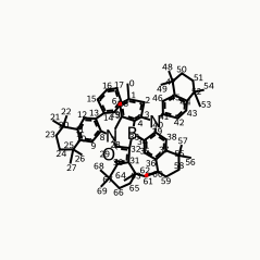 Cc1cc2c3c(c1)N(c1cc4c(cc1-c1ccccc1)C(C)(C)CCC4(C)C)c1oc4c5c1B3c1cc3c(cc1N2c1ccc2c(c1)C(C)(C)CCC2(C)C)C(C)(C)CCC3(C)CC5(C)CCC4(C)C